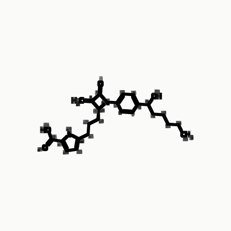 C=C1C(=O)N(c2ccc(C(O)CCCCC)cc2)[C@H]1CCCc1ccc(C(=O)O)s1